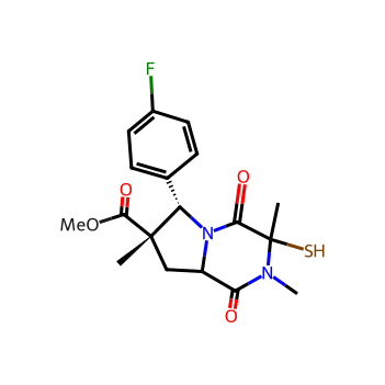 COC(=O)[C@@]1(C)CC2C(=O)N(C)C(C)(S)C(=O)N2[C@H]1c1ccc(F)cc1